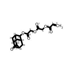 C=CC(=O)OCC(=O)OCC(=O)OC1C2CC3CC(C2)C(=O)OC1C3